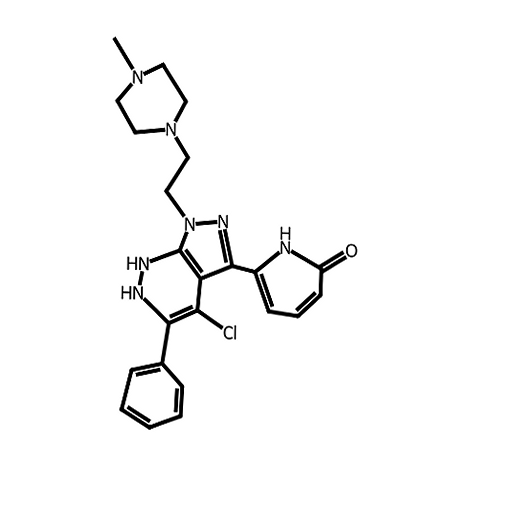 CN1CCN(CCn2nc(-c3cccc(=O)[nH]3)c3c2NNC(c2ccccc2)=C3Cl)CC1